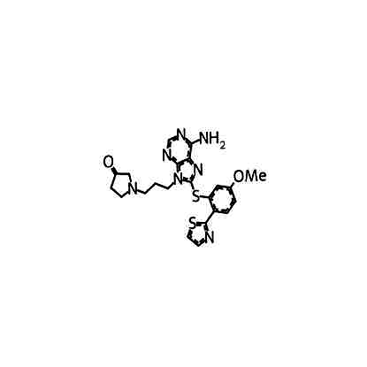 COc1ccc(-c2nccs2)c(Sc2nc3c(N)ncnc3n2CCCN2CCC(=O)C2)c1